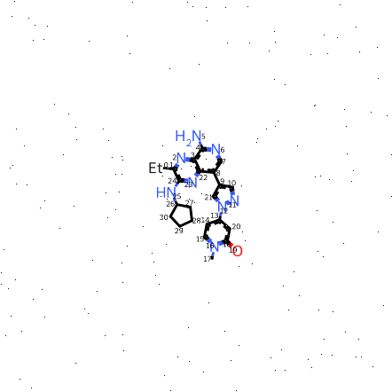 CCc1nc2c(N)ncc(-c3cnn(-c4ccn(C)c(=O)c4)c3)c2nc1NC1CCCC1